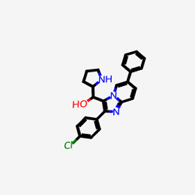 OC(c1c(-c2ccc(Cl)cc2)nc2ccc(-c3ccccc3)cn12)C1CCCN1